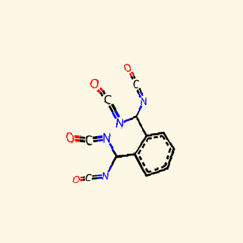 O=C=NC(N=C=O)c1ccccc1C(N=C=O)N=C=O